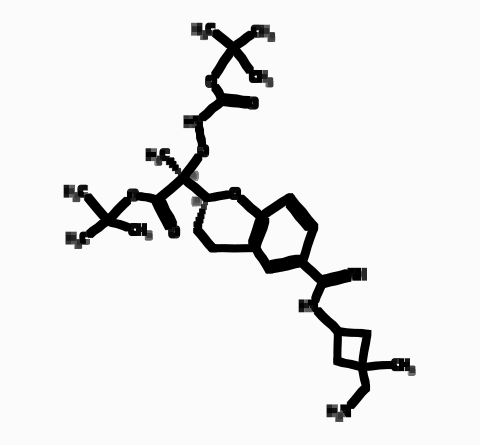 CC1(CN)CC(NC(=N)c2ccc3c(c2)CC[C@H]([C@](C)(ONC(=O)OC(C)(C)C)C(=O)OC(C)(C)C)O3)C1